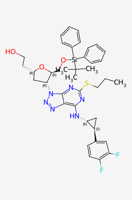 CCCSc1nc(N[C@@H]2C[C@H]2c2ccc(F)c(F)c2)c2nnn([C@@H]3C[C@H](CCO)O[C@H]3CO[Si](c3ccccc3)(c3ccccc3)C(C)(C)C)c2n1